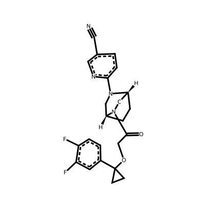 N#Cc1ccc(N2C[C@H]3CC[C@@H]2CN3C(=O)COC2(c3ccc(F)c(F)c3)CC2)nc1